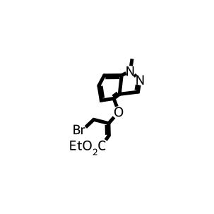 CCOC(=O)C=C(CBr)Oc1cccc2c1cnn2C